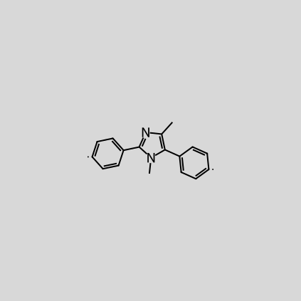 Cc1nc(-c2cc[c]cc2)n(C)c1-c1cc[c]cc1